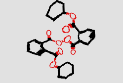 O=C(OOC(=O)c1ccccc1C(=O)OC1CCCCC1)c1ccccc1C(=O)OC1CCCCC1